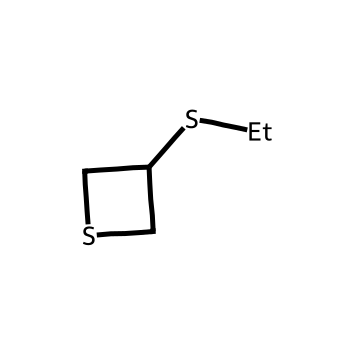 CCSC1CSC1